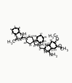 CCc1ccccc1NC(=N)N1CCC(CNCc2nc(N)c3cc(OC)c(OC)cc3n2)(c2ccccc2)CC1